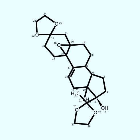 CC1([C@@]2(O)CCC3C4CCC56CC7(CCC5(O6)C4=CCC32C)OCCO7)OCCO1